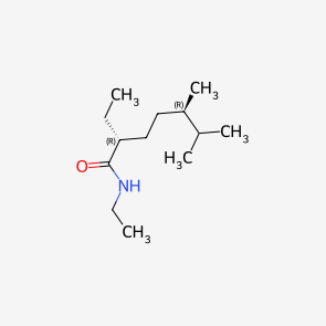 CCNC(=O)[C@H](CC)CC[C@@H](C)C(C)C